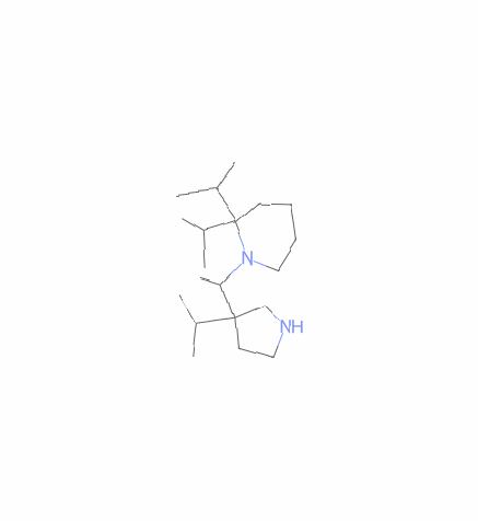 CC(C)C1(C(C)N2CCCCC2(C(C)C)C(C)C)CCNC1